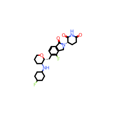 O=C1CC[C@H](N2Cc3c(ccc(C[C@H]4OCCC[C@@H]4NC4CCC(F)CC4)c3F)C2=O)C(=O)N1